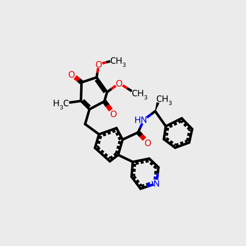 COC1=C(OC)C(=O)C(Cc2ccc(-c3ccncc3)c(C(=O)N[C@@H](C)c3ccccc3)c2)=C(C)C1=O